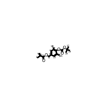 C=C(C)C(=O)OCc1cc(I)c(OC(=O)OC(C)(C)C)c(I)c1